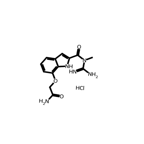 CN(C(=N)N)C(=O)c1cc2cccc(OCC(N)=O)c2[nH]1.Cl